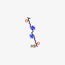 CC(C)C(=O)CCCCn1cc(CCc2cn(CCCCC(=O)C(C)S)nn2)nn1